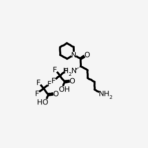 NCCCC[C@H](N)C(=O)N1CCCCC1.O=C(O)C(F)(F)F.O=C(O)C(F)(F)F